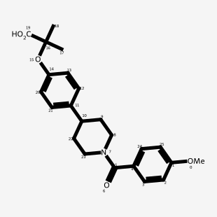 COc1ccc(C(=O)N2CCC(c3ccc(OC(C)(C)C(=O)O)cc3)CC2)cc1